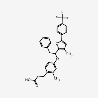 Cc1cc(OC(Cc2ccccc2)c2oc(-c3ccc(C(F)(F)F)cc3)nc2C)ccc1CCC(=O)O